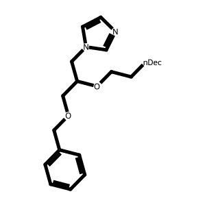 CCCCCCCCCCCCOC(COCc1ccccc1)Cn1ccnc1